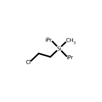 CC(C)[Si](C)(CCCl)C(C)C